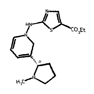 CCOC(=O)c1cnc(NN2C=CC=C([C@@H]3CCCN3C)C2)s1